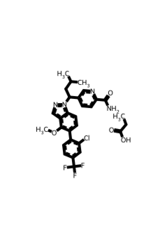 CCC(=O)O.COc1c(-c2ccc(C(F)(F)F)cc2Cl)ccc2c1cnn2C(CC(C)C)c1ccc(C(N)=O)nc1